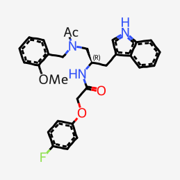 COc1ccccc1CN(C[C@@H](Cc1c[nH]c2ccccc12)NC(=O)COc1ccc(F)cc1)C(C)=O